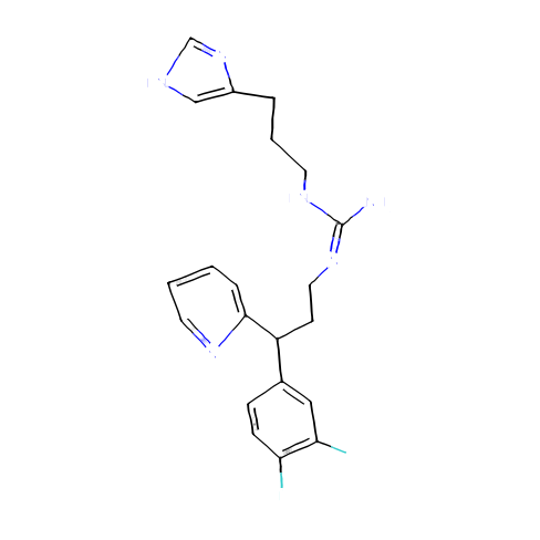 NC(=NCCC(c1ccc(F)c(F)c1)c1ccccn1)NCCCc1c[nH]cn1